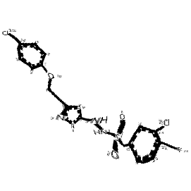 O=S(=O)(NNc1nnc(COc2ccc(Cl)cc2)s1)c1ccc(F)c(Cl)c1